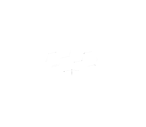 C=C(C)CC(C(=C)C)C1=C(C)c2ccccc2C(C)(F)C1(C)C